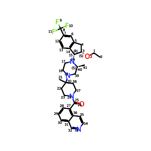 CCO[C@H]1Cc2cc(C(F)(F)F)ccc2[C@H]1N1CCN(C2(C)CCN(C(=O)c3cccc4cnccc34)CC2)C[C@@H]1C